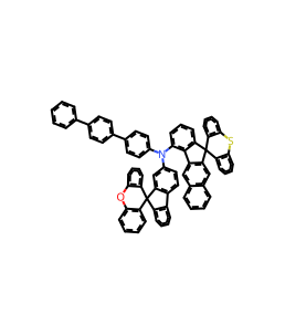 c1ccc(-c2ccc(-c3ccc(N(c4ccc5c(c4)C4(c6ccccc6Oc6ccccc64)c4ccccc4-5)c4cccc5c4-c4cc6ccccc6cc4C54c5ccccc5Sc5ccccc54)cc3)cc2)cc1